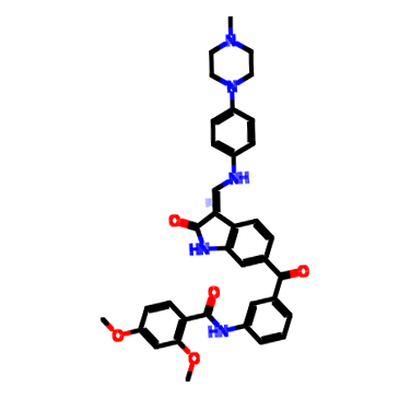 COc1ccc(C(=O)Nc2cccc(C(=O)c3ccc4c(c3)NC(=O)/C4=C/Nc3ccc(N4CCN(C)CC4)cc3)c2)c(OC)c1